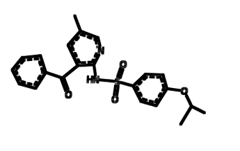 Cc1cnc(NS(=O)(=O)c2ccc(OC(C)C)cc2)c(C(=O)c2ccccc2)c1